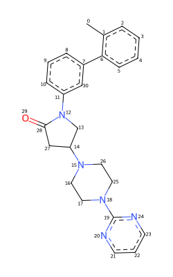 Cc1ccccc1-c1cccc(N2CC(N3CCN(c4ncccn4)CC3)CC2=O)c1